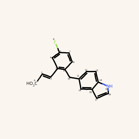 O=C(O)C=Cc1cc(F)ccc1Cc1ccc2[nH]ccc2c1